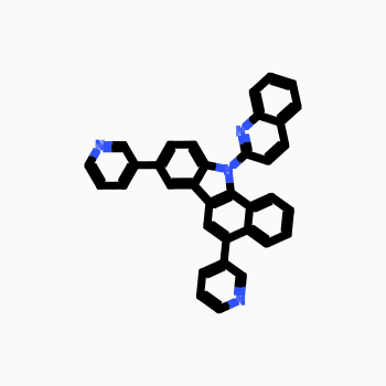 c1cncc(-c2ccc3c(c2)c2cc(-c4cccnc4)c4ccccc4c2n3-c2ccc3ccccc3n2)c1